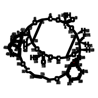 O=[P@@]1(S)OCC2OC3[C@H](F)[C@@H]2O[P@](=O)(S)OCC2O[C@H]([C@H](F)[C@@H]2O1)n1cnc2c(ncnc21)OC/C=C/COc1ncnc2c1ncn23